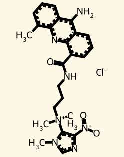 Cc1cccc2c(N)c3cccc(C(=O)NCCC[N+](C)(C)c4c([N+](=O)[O-])ncn4C)c3nc12.[Cl-]